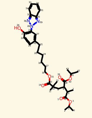 CC(C)OC(=O)C(C)C(CC(C)(C)C(=O)OCCCCCCc1ccc(O)c(-n2nc3ccccc3n2)c1)C(=O)OC(C)C